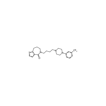 O=C1c2ccsc2CCCN1CCCCN1CCN(c2cccc(C(F)(F)F)c2)CC1